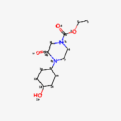 CCOC(=O)N1CCN(C2CCC(O)CC2)C(=O)C1